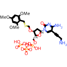 COc1cc(OC)c(CSCO[C@H]2C[C@H](n3cc(C#CCN)c(N)nc3=O)O[C@@H]2COP(=O)(O)OP(=O)(O)OP(=O)(O)O)c(OC)c1